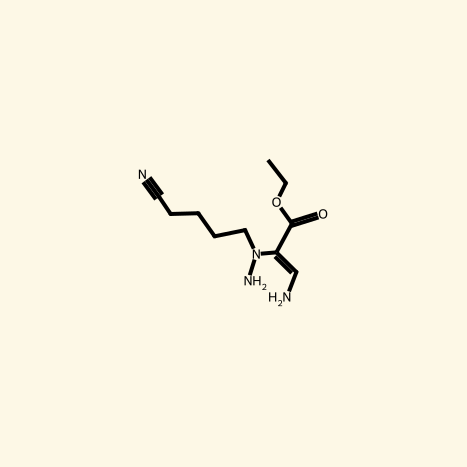 CCOC(=O)/C(=C/N)N(N)CCCCC#N